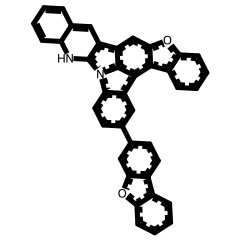 C1=CC2=Cc3c(n4c5ccc(-c6ccc7c(c6)oc6ccccc67)cc5c5c6c(cc3c54)oc3ccccc36)NC2C=C1